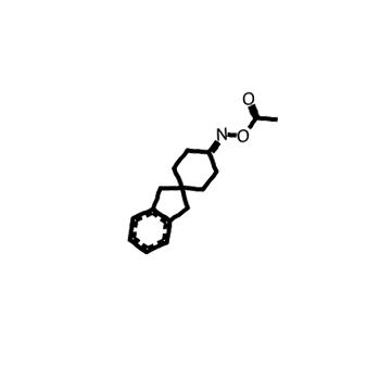 CC(=O)ON=C1CCC2(CC1)Cc1ccccc1C2